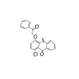 O=C(COc1ccc(Cl)c2c(=O)c3ccccc3sc12)c1ccccc1